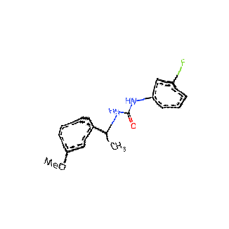 COc1cccc(C(C)NC(=O)Nc2cccc(F)c2)c1